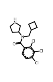 O=C(c1ccc(Cl)c(Cl)c1Cl)N(CC1CCC1)C1CCNC1